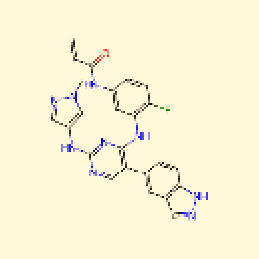 C=CC(=O)Nc1ccc(F)c(Nc2nc(Nc3cnn(C)c3)ncc2-c2ccc3[nH]ncc3c2)c1